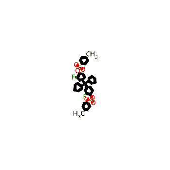 Cc1ccc(S(=O)(=O)Oc2ccc(C(c3ccccc3)(c3ccccc3)c3ccc(OS(=O)(=O)c4ccc(C)cc4)c(F)c3)cc2F)cc1